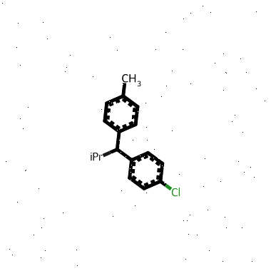 Cc1ccc(C(c2ccc(Cl)cc2)C(C)C)cc1